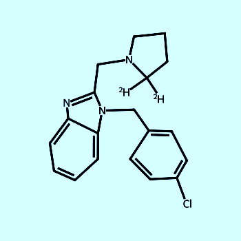 [2H]C1([2H])CCCN1Cc1nc2ccccc2n1Cc1ccc(Cl)cc1